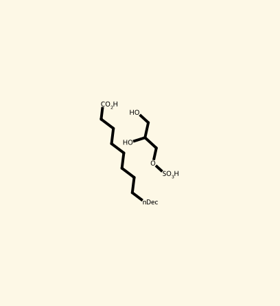 CCCCCCCCCCCCCCCCCC(=O)O.O=S(=O)(O)OCC(O)CO